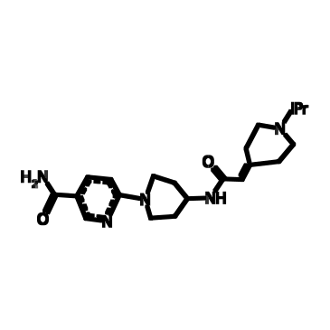 CC(C)N1CCC(=CC(=O)NC2CCN(c3ccc(C(N)=O)cn3)CC2)CC1